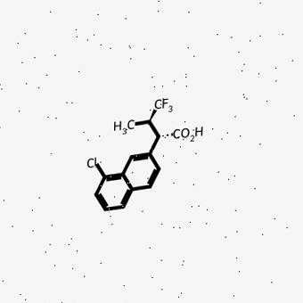 C[C@H]([C@H](C(=O)O)c1ccc2cccc(Cl)c2c1)C(F)(F)F